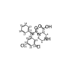 O=C(O)C1CNCCN1C(=O)N(c1ccccc1)c1cc(Cl)cc(Cl)c1